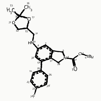 CC(C)(C)OC(=O)N1Cc2cc(NCC3COC(C)(C)O3)cc(-c3ccc(F)cc3)c2C1